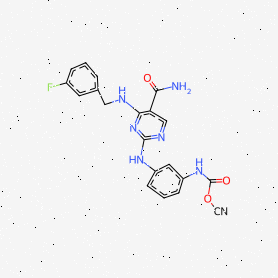 N#COC(=O)Nc1cccc(Nc2ncc(C(N)=O)c(NCc3cccc(F)c3)n2)c1